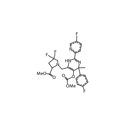 COC(=O)OC1=C(CN2CC(F)(F)CC2C(=O)OC)NC(c2ccc(F)cn2)=NC1(C)c1ccc(F)cc1